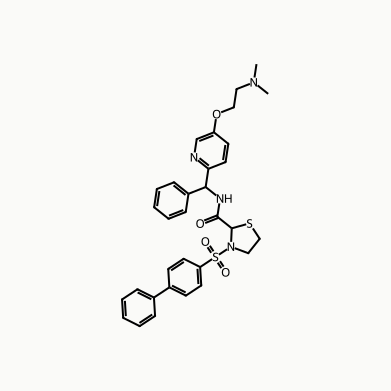 CN(C)CCOc1ccc(C(NC(=O)C2SCCN2S(=O)(=O)c2ccc(-c3ccccc3)cc2)c2ccccc2)nc1